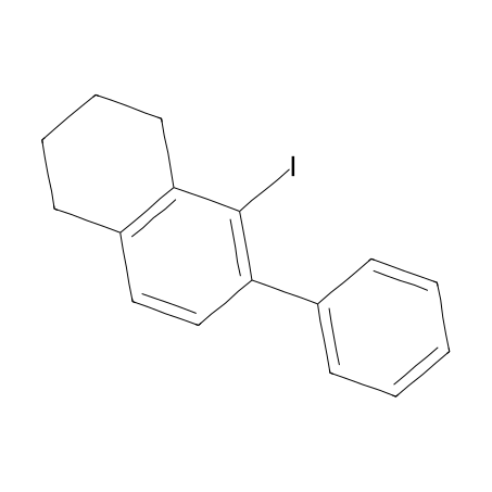 Ic1c(-c2ccccc2)ccc2c1CCCC2